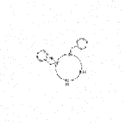 [Ni][N+]1(Cc2ccccc2)CCCNCCNCCCN(Cc2ccccc2)CC1